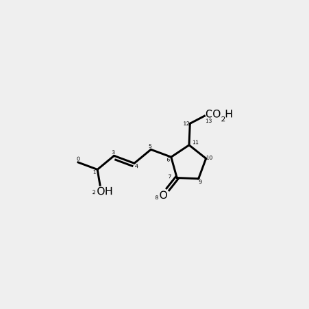 CC(O)/C=C/CC1C(=O)CCC1CC(=O)O